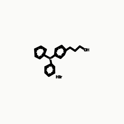 Br.OCCCc1ccc(P(c2ccccc2)c2ccccc2)cc1